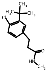 CNC(=O)CCc1ccc(Cl)c(C(C)(C)C)c1